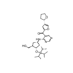 CC(C)[Si](O[C@H]1C[C@H](Nc2ncncc2C(=O)c2cc([C@@H]3CCCO3)co2)C[C@@H]1CO)(C(C)C)C(C)C